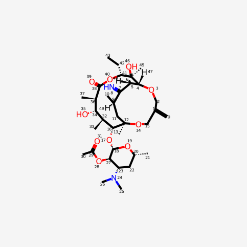 C=C1CO[C@@H]2[C@@H](C)C(=N)[C@H](C)C[C@@](C)(OC1)[C@H](O[C@@H]1O[C@H](C)C[C@H](N(C)C)[C@H]1OC(C)=O)[C@@H](C)[C@H](O)[C@@H](C)C(=O)O[C@H](CC)[C@@]2(C)O